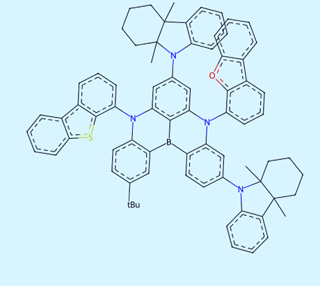 CC(C)(C)c1ccc2c(c1)B1c3ccc(N4c5ccccc5C5(C)CCCCC45C)cc3N(c3cccc4c3oc3ccccc34)c3cc(N4c5ccccc5C5(C)CCCCC45C)cc(c31)N2c1cccc2c1sc1ccccc12